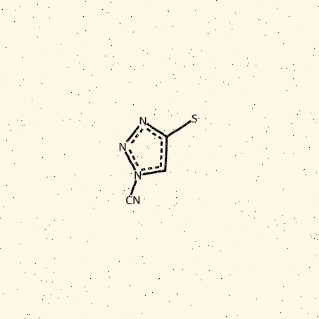 N#Cn1cc([S])nn1